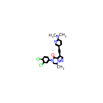 C[C@H]1CN(c2ccc(Cl)c(Cl)c2)C(=O)c2c(C#Cc3ccc(N(C)C)nc3)cnn21